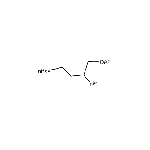 CCCCCCCCC(CCC)COC(C)=O